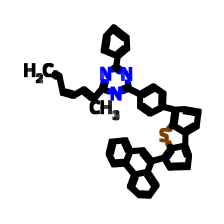 C=C/C=C\C=C(/C)c1nc(-c2ccccc2)nc(-c2ccc(-c3cccc4c3sc3c(-c5cc6ccccc6c6ccccc56)cccc34)cc2)n1